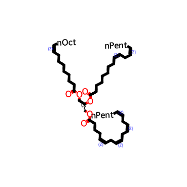 CCCCC/C=C\C/C=C\C/C=C\C/C=C\CCCC(=O)OC[C@H](COC(=O)CCCCCCC/C=C\CCCCCCCC)OC(=O)CCCCCCC/C=C\C/C=C\CCCCC